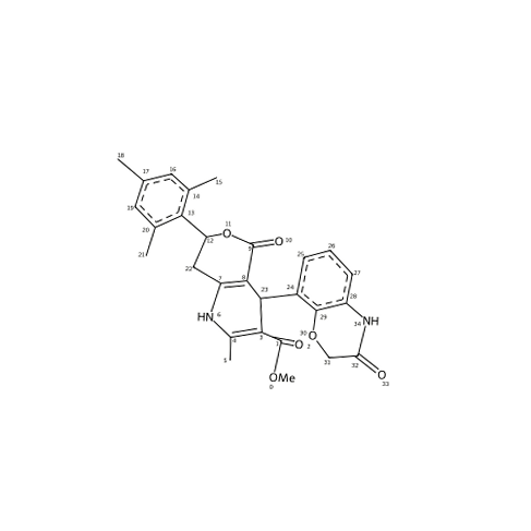 COC(=O)C1=C(C)NC2=C(C(=O)OC(c3c(C)cc(C)cc3C)C2)C1c1cccc2c1OCC(=O)N2